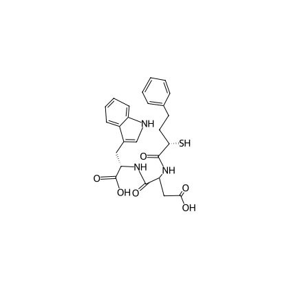 O=C(O)CC(NC(=O)[C@@H](S)CCc1ccccc1)C(=O)N[C@@H](Cc1c[nH]c2ccccc12)C(=O)O